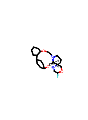 FC1CN[C@@]2(CCCN3CCOC4CCCCC4C4CCC(CC4)OC[C@@H]32)CO1